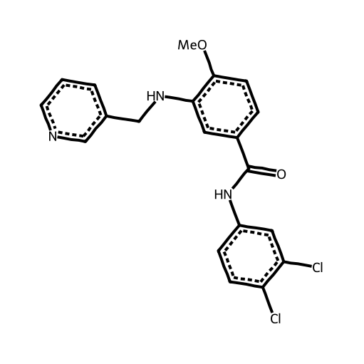 COc1ccc(C(=O)Nc2ccc(Cl)c(Cl)c2)cc1NCc1cccnc1